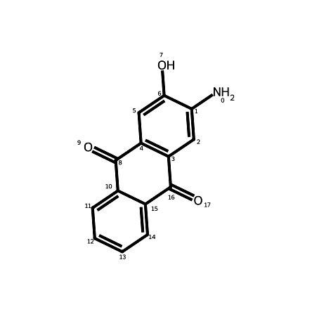 Nc1cc2c(cc1O)C(=O)c1ccccc1C2=O